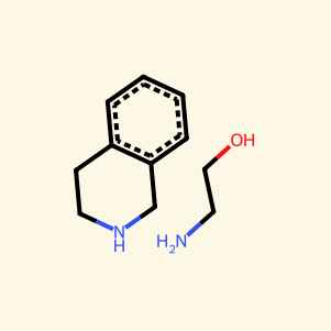 NCCO.c1ccc2c(c1)CCNC2